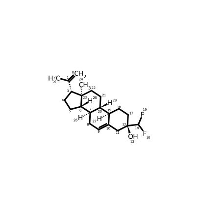 C=C(C)[C@H]1CC[C@H]2[C@@H]3CC=C4C[C@@](O)(C(F)F)CC[C@@H]4[C@H]3CC[C@]12C